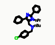 CCCCN(Cc1ccc(Cl)cc1)Cc1c(-c2ccccc2)nc(-c2ccccc2)n1CCC